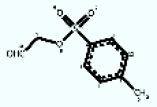 Cc1ccc(S(=O)(=O)OCC=O)cc1